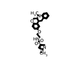 CNC1COc2ccc(OCCNS(=O)(=O)c3cnn(C)c3)cc2C1Cc1ccccc1